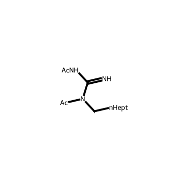 CCCCCCC[CH]N(C(=N)NC(C)=O)C(C)=O